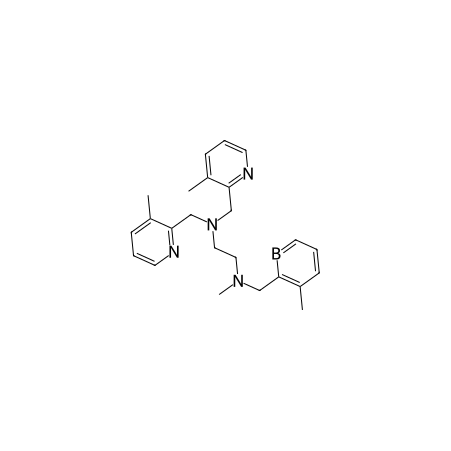 Cc1cccbc1CN(C)CCN(Cc1ncccc1C)Cc1ncccc1C